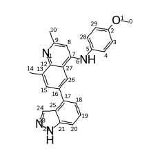 COc1ccc(Nc2cc(C)nc3c(C)cc(-c4cccc5[nH]ncc45)cc23)cc1